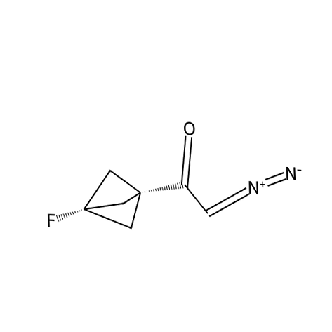 [N-]=[N+]=CC(=O)[C@]12C[C@](F)(C1)C2